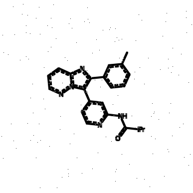 Cc1cccc(-c2nc3cccnn3c2-c2ccnc(NC(=O)C(C)C)c2)c1